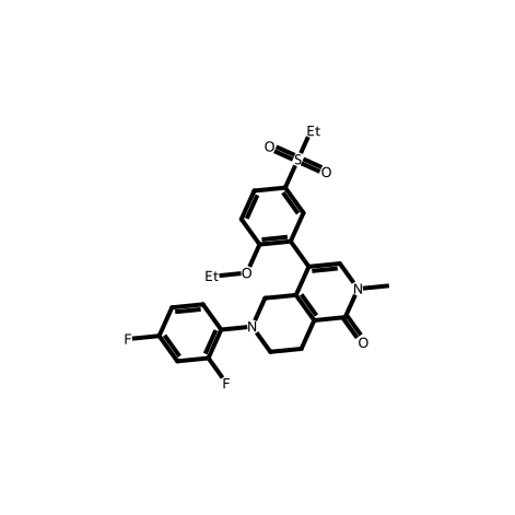 CCOc1ccc(S(=O)(=O)CC)cc1-c1cn(C)c(=O)c2c1CN(c1ccc(F)cc1F)CC2